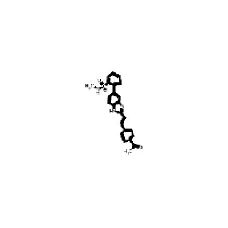 CNS(=O)(=O)c1ccccc1-c1ccc2[nH]c(C=Cc3ccc(C(C)=O)cc3)nc2c1